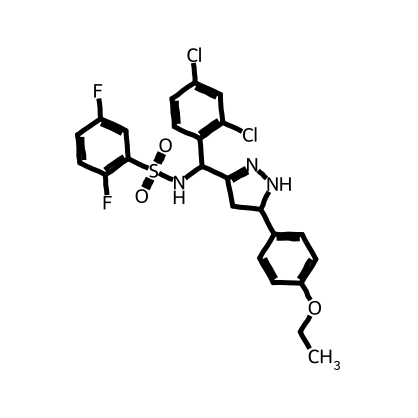 CCOc1ccc(C2CC(C(NS(=O)(=O)c3cc(F)ccc3F)c3ccc(Cl)cc3Cl)=NN2)cc1